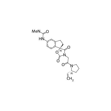 C=C[C@H]1CCCN1C(=O)CN1C(=O)O[C@@]2(CCc3cc(NC(=O)NC)ccc32)C1=O